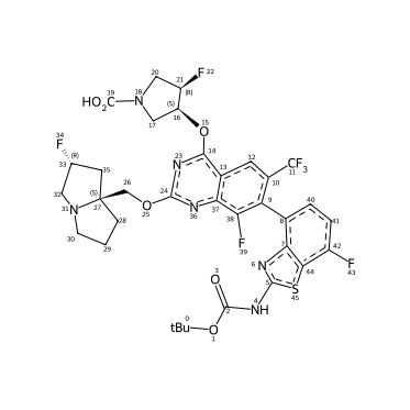 CC(C)(C)OC(=O)Nc1nc2c(-c3c(C(F)(F)F)cc4c(O[C@H]5CN(C(=O)O)C[C@H]5F)nc(OC[C@@]56CCCN5C[C@H](F)C6)nc4c3F)ccc(F)c2s1